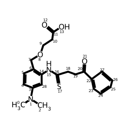 CN(C)c1ccc(COCCC(=O)O)c(NC(=S)CCC(=O)c2ccccc2)c1